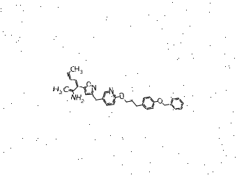 C=C(N)/C(=C\C=C/C)c1cc(Cc2ccc(OCCCc3ccc(OCc4ccccc4)cc3)nc2)no1